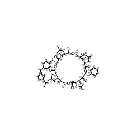 CC(C)C[C@H]1C(=O)O[C@H](Cc2ccc(Cn3ccc(C(C)C)n3)cc2)C(=O)N(C)[C@@H](CC(C)C)C(=O)O[C@H](C)C(=O)N(C)[C@@H](CC(C)C)C(=O)O[C@H](Cc2ccccc2)C(=O)N(C)[C@@H](CC(C)C)C(=O)O[C@H](C)C(=O)N1C